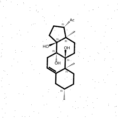 CC(=O)[C@H]1CC[C@@]2(O)[C@]3(O)CC=C4C[C@@H](C)CC[C@]4(C)[C@@]3(O)CC[C@]12C